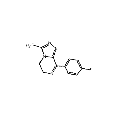 Cc1nnc2n1CCN=C2c1ccc(F)cc1